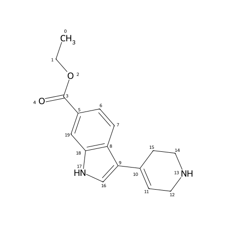 CCOC(=O)c1ccc2c(C3=CCNCC3)c[nH]c2c1